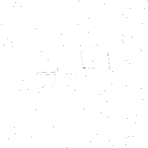 N=P(O)(O)NC12CCC(CC1)C2